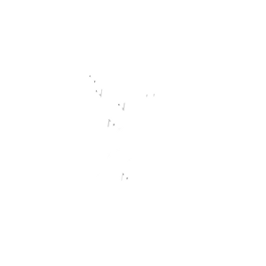 CC1C(=O)N(c2cccnn2)N=C1c1cccnc1